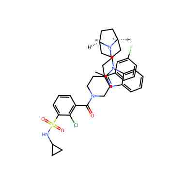 Cc1nc2ccccc2n1C1C[C@H]2CC[C@@H](C1)N2CCC1(c2cccc(F)c2)CCN(C(=O)c2cccc(S(=O)(=O)NC3CC3)c2Cl)CC1